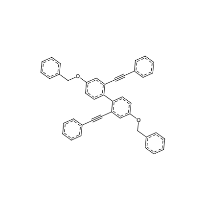 C(#Cc1cc(OCc2ccccc2)ccc1-c1ccc(OCc2ccccc2)cc1C#Cc1ccccc1)c1ccccc1